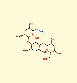 CNC1CC(O)C(CN)OC1OC1C(NC)CC(NC)C(OC2OC(CO)C(O)CC2O)C1O